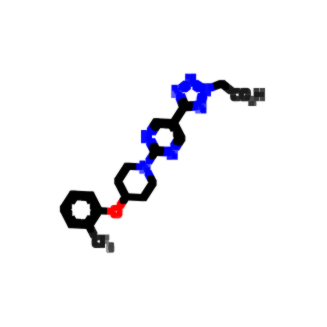 O=C(O)Cn1nnc(-c2cnc(N3CCC(Oc4ccccc4C(F)(F)F)CC3)nc2)n1